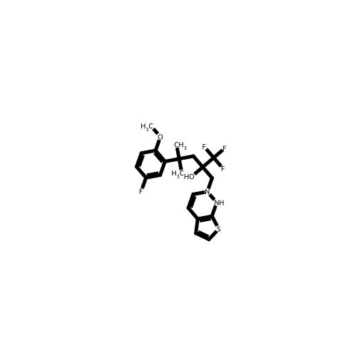 COc1ccc(F)cc1C(C)(C)CC(O)(CN1C=Cc2ccsc2N1)C(F)(F)F